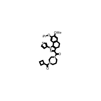 COc1cc2c(cc1OC(C)C)-c1c(c(C(=O)N3CCCN(C(=O)C4CCC4)CC3)nn1-c1ccsc1)CC2